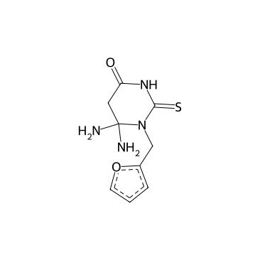 NC1(N)CC(=O)NC(=S)N1Cc1ccco1